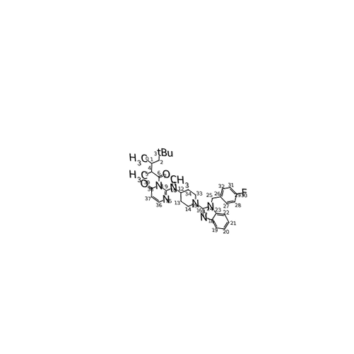 CC(CC(C)(C)C)C(C)C(=O)n1c(N(C)C2CCN(c3nc4ccccc4n3Cc3ccc(F)cc3)CC2)nccc1=O